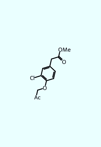 COC(=O)Cc1ccc(OCC(C)=O)c(Cl)c1